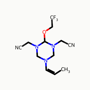 C/C=C\N1CN(CC#N)C(OCC(F)(F)F)N(CC#N)C1